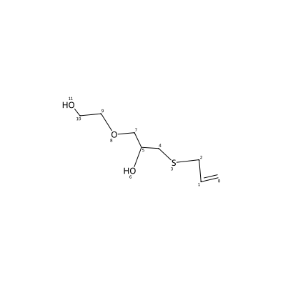 C=CCSCC(O)COCCO